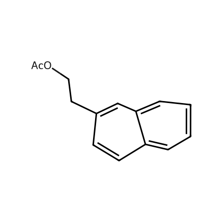 CC(=O)OCCc1ccc2ccccc2c1